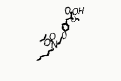 CCCCCCN(CCOc1ccc(CC(OCC)C(=O)O)cc1)C(=O)OC(C)C